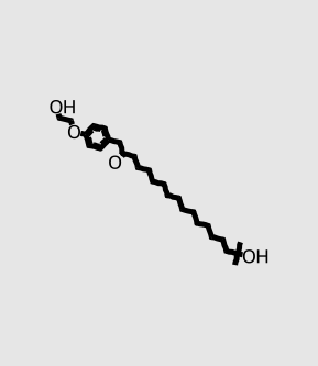 CC(C)(O)CCCCCCCCCCCCCCC(=O)Cc1ccc(OCCO)cc1